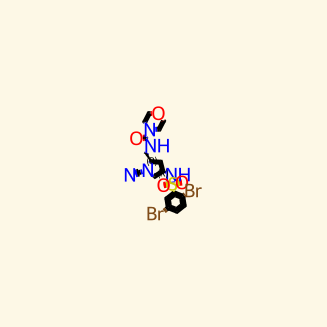 N#CN1C[C@H](NS(=O)(=O)c2cc(Br)ccc2Br)C[C@@H]1CNC(=O)N1CCOCC1